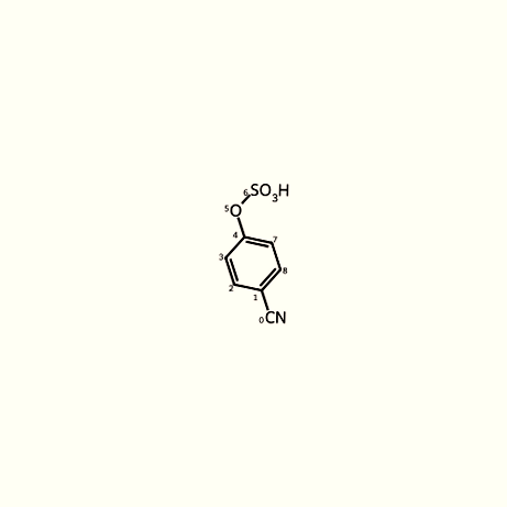 N#Cc1ccc(OS(=O)(=O)O)cc1